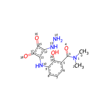 CN(C)C(=O)c1cccc(Nc2c(NN)c(=O)c2=O)c1O